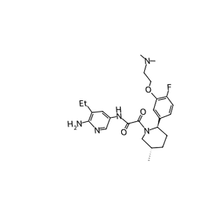 CCc1cc(NC(=O)C(=O)N2C[C@@H](C)CC[C@@H]2c2ccc(F)c(OCCN(C)C)c2)cnc1N